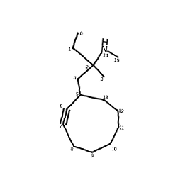 CCC(C)(CC1C#CCCCCCC1)NC